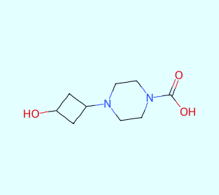 O=C(O)N1CCN(C2CC(O)C2)CC1